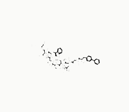 C[C@@H](O)[C@H](NC(=O)[C@H](Cc1c[nH]c2ccccc12)NC(=O)[C@H](CC(=O)O)NC(=O)[C@H](CC(=O)O)NC(=O)[C@@H](NC(=O)[C@H](CC(N)=O)NC(=O)CNC(=O)[C@@H](N)Cc1ccc(-c2ccccc2)cc1)[C@@H](C)O)C(=O)N[C@@H](CS)C(=O)O